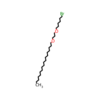 CCCCCCCCCCCCCCCCCCOCCCOCCCCCCBr